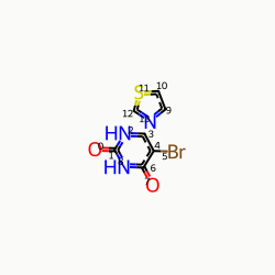 O=c1[nH]cc(Br)c(=O)[nH]1.c1cscn1